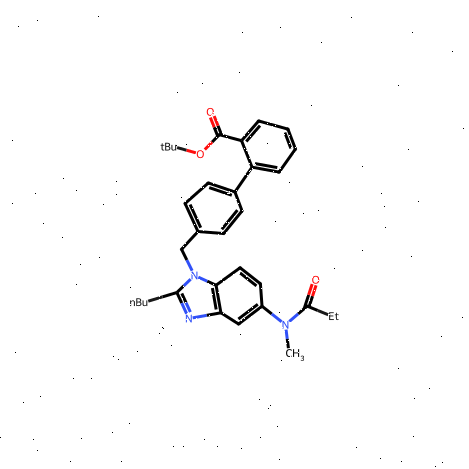 CCCCc1nc2cc(N(C)C(=O)CC)ccc2n1Cc1ccc(-c2ccccc2C(=O)OC(C)(C)C)cc1